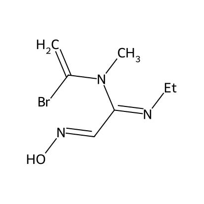 C=C(Br)N(C)C(/C=N/O)=N\CC